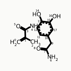 C=C(C)C(N)=O.NC(=O)Cc1ccc(O)c(O)c1